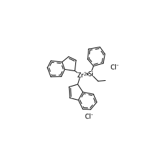 CC[Si](c1ccccc1)=[Zr+2]([CH]1C=Cc2ccccc21)[CH]1C=Cc2ccccc21.[Cl-].[Cl-]